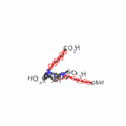 C=C(/C=C(\c1ccc(N(CCCS(=O)(=O)O)CCOCCOCCOCCOCCOCCOC)cc1O)C(C)(C)C)/C=C/C=C1/N(CCOCCOCCOCCOCCOCCOCCC(=O)O)c2ccc(S(=O)(=O)O)cc2C1(C)CCCS(=O)(=O)O